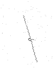 [CH2]Cc1c(CCCCCCCCCCCCCCCC)cccc1CCCCCCCCCCCCCCCC